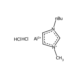 CCCCn1cc[n+](C)c1.Cl.Cl.[Al+3]